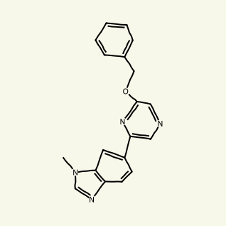 Cn1cnc2ccc(-c3cncc(OCc4ccccc4)n3)cc21